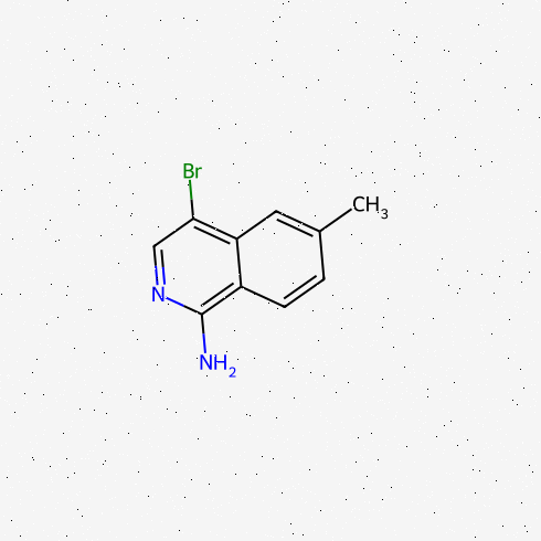 Cc1ccc2c(N)ncc(Br)c2c1